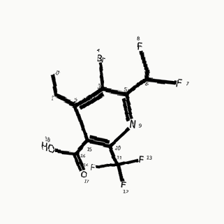 CCc1c(Br)c(C(F)F)nc(C(F)(F)F)c1C(=O)O